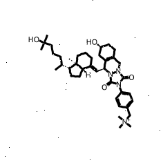 CC(CCCC(C)(C)O)[C@H]1CC[C@H]2/C(=C/[C@H]3C4=C(CC[C@H](O)C4)Cn4c(=O)n(-c5ccc(C[N+](C)(C)C)cc5)c(=O)n43)CCC[C@]12C